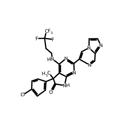 CC1(c2ccc(Cl)cc2)C(=O)Nc2nc(-c3cn4ccnc4cn3)nc(NCCC(F)(F)C(F)(F)F)c21